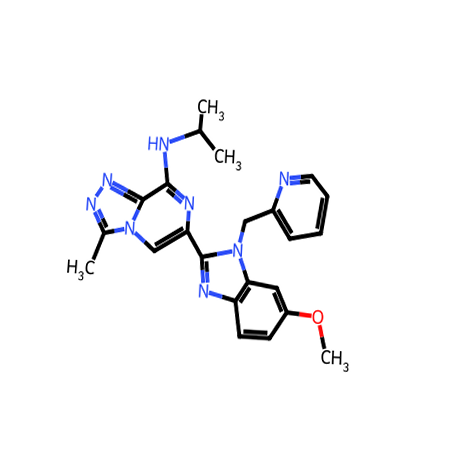 COc1ccc2nc(-c3cn4c(C)nnc4c(NC(C)C)n3)n(Cc3ccccn3)c2c1